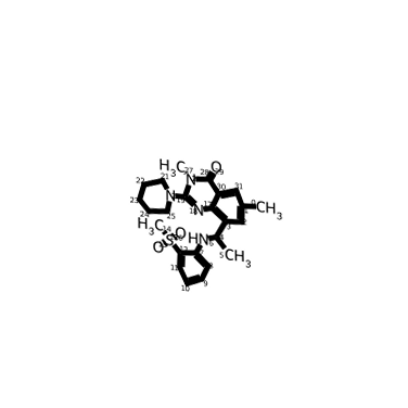 Cc1cc(C(C)Nc2ccccc2S(C)(=O)=O)c2nc(N3CCCCC3)n(C)c(=O)c2c1